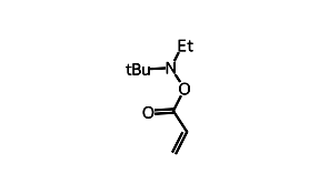 C=CC(=O)ON(CC)C(C)(C)C